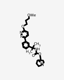 COCCCOc1ccc(-c2cccc(C(C)(C)NC(=O)OC3CCN4CCC3CC4)c2)nn1